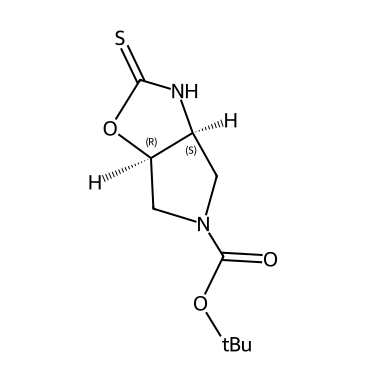 CC(C)(C)OC(=O)N1C[C@@H]2NC(=S)O[C@@H]2C1